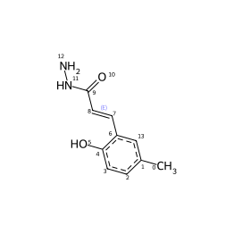 Cc1ccc(O)c(/C=C/C(=O)NN)c1